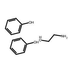 NCCO.Oc1ccccc1.Oc1ccccc1